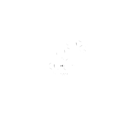 CN[C@H](C(=O)N[C@H](C(=O)N(C)[C@H](/C=C(\C)C(=O)NS(=O)(=O)Cc1ccc(C2(N)CC2)cc1)C(C)C)C(C)(C)C)C(C)(C)c1ccccc1